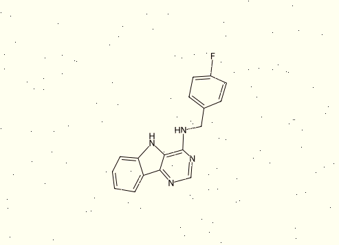 Fc1ccc(CNc2ncnc3c2[nH]c2ccccc23)cc1